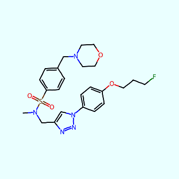 CN(Cc1cn(-c2ccc(OCCCF)cc2)nn1)S(=O)(=O)c1ccc(CN2CCOCC2)cc1